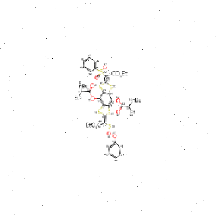 CCCCC(CC)C(=O)Oc1c2c(c(OC(=O)C(CC)CCCC)c3c1SC(=C(C(=O)OCC)S(=O)(=O)c1ccccc1)S3)SC(=C(SOOc1ccccc1)C(=O)OCC)S2